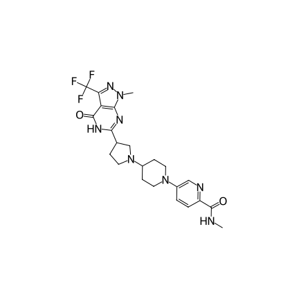 CNC(=O)c1ccc(N2CCC(N3CCC(c4nc5c(c(C(F)(F)F)nn5C)c(=O)[nH]4)C3)CC2)cn1